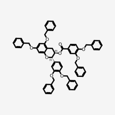 O=C(O[C@@H]1Cc2c(OCc3ccccc3)cc(OCc3ccccc3)cc2O[C@H]1c1ccc(OCc2ccccc2)c(OCc2ccccc2)c1)c1ccc(OCc2ccccc2)c(OCc2ccccc2)c1